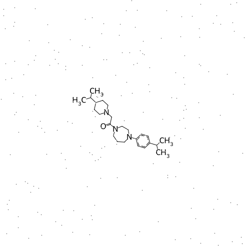 CC(C)c1ccc(N2CCCN(C(=O)CN3CCC(C(C)C)CC3)CC2)cc1